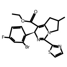 CCOC(=O)C1=C2CC(C)CN2C(c2nccs2)=N[C@H]1c1ccc(F)cc1Br